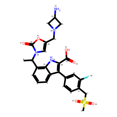 CC(c1cccc2c(-c3ccc(CS(C)(=O)=O)c(F)c3)c(C(=O)O)[nH]c12)n1cc(CN2CC(N)C2)oc1=O